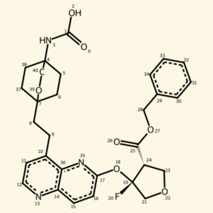 O=C(O)NC12CCC(CCc3ccnc4ccc(O[C@@]5(F)COC[C@H]5C(=O)OCc5ccccc5)nc34)(CC1)OC2